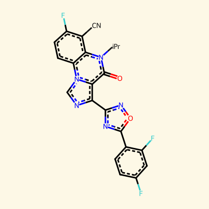 CC(C)n1c(=O)c2c(-c3noc(-c4ccc(F)cc4F)n3)ncn2c2ccc(F)c(C#N)c21